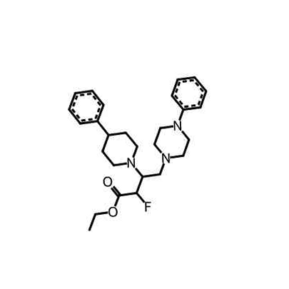 CCOC(=O)C(F)C(CN1CCN(c2ccccc2)CC1)N1CCC(c2ccccc2)CC1